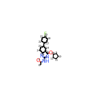 CC(=O)Nc1nc(OC2CCCC2)c2cc(-c3ccc(F)cc3)ccc2n1